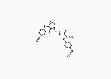 CC(Oc1ccc(C#N)cc1)C(=O)OCCOC(=O)C(C)Oc1ccc(N=C=O)cc1